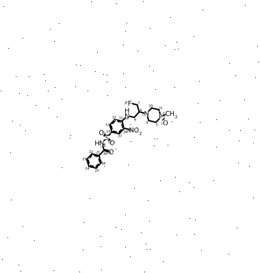 CP1(=O)CCN(C(CF)CNc2ccc(S(=O)(=O)NC(=O)c3ccccc3)cc2[N+](=O)[O-])CC1